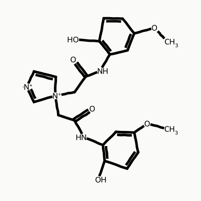 COc1ccc(O)c(NC(=O)C[N+]2(CC(=O)Nc3cc(OC)ccc3O)C=C[N+]=C2)c1